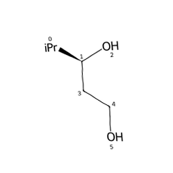 CC(C)[C@@H](O)CCO